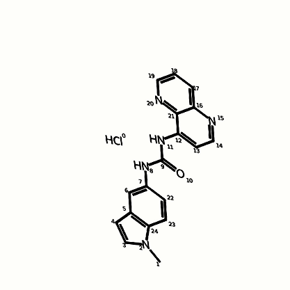 Cl.Cn1ccc2cc(NC(=O)Nc3ccnc4cccnc34)ccc21